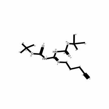 C#CCCCN=C(NC(=O)OC(C)(C)C)NC(=O)OC(C)(C)C